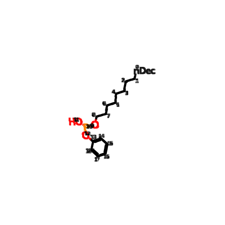 CCCCCCCCCCCCCCCCCCOP(O)Oc1ccccc1